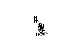 CCC[C@@]1(O)CC[C@H]2[C@H](CC[C@@H]3[C@@H]2CC[C@]2(C)[C@@H](CCc4cnc(C)cn4)CC[C@@H]32)C1